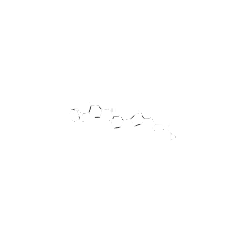 Cc1cc(Nc2nccc(-c3ccc(NC(N)CS(=O)(=O)C4CC4)nc3)n2)ccc1N1C[C@@H]2C[C@H]1CO2